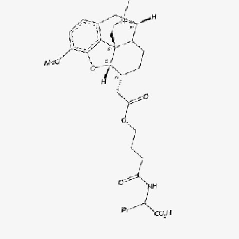 COc1ccc2c3c1O[C@H]1[C@@H](CC(=O)OCCCC(=O)NC(C(=O)O)C(C)C)CCC4[C@@H](C2)N(C)CC[C@@]341